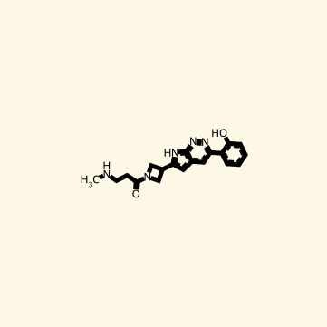 CNCCC(=O)N1CC(c2cc3cc(-c4ccccc4O)nnc3[nH]2)C1